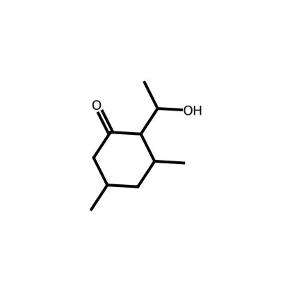 CC1CC(=O)C(C(C)O)C(C)C1